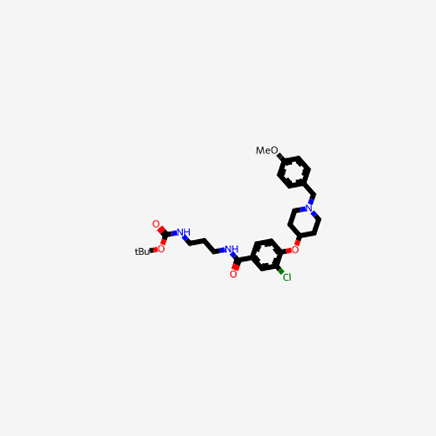 COc1ccc(CN2CCC(Oc3ccc(C(=O)NCCCNC(=O)OC(C)(C)C)cc3Cl)CC2)cc1